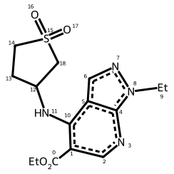 CCOC(=O)c1cnc2c(cnn2CC)c1NC1CCS(=O)(=O)C1